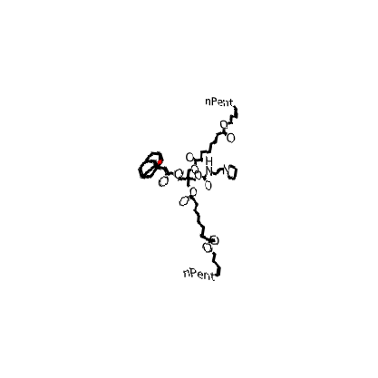 CCCCC/C=C\CCOC(=O)CCCCCCC(=O)OCC(COC(=O)CCCCCCC(=O)OCC/C=C\CCCCC)(COC(=O)CC12CC3CC(CC(C3)C1)C2)COC(=O)NCCN1CCCC1